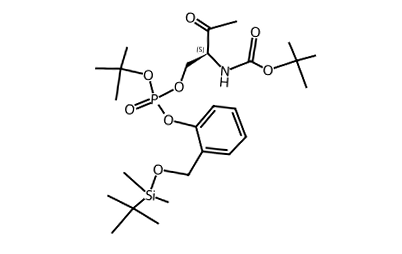 CC(=O)[C@H](COP(=O)(Oc1ccccc1CO[Si](C)(C)C(C)(C)C)OC(C)(C)C)NC(=O)OC(C)(C)C